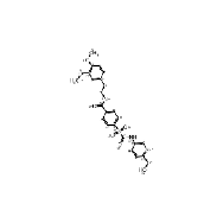 COc1ccc(CCNC(=O)c2ccc(S(=O)(=O)C(=O)Nc3ccc(CO)nc3)cc2)cc1OC